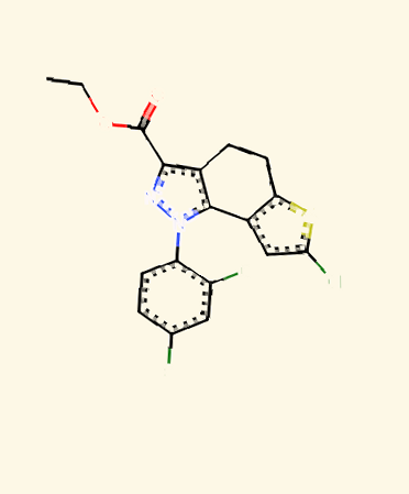 CCOC(=O)c1nn(-c2ccc(Cl)cc2Cl)c2c1CCc1sc(Cl)cc1-2